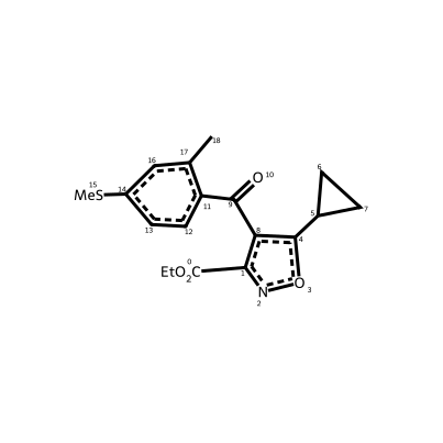 CCOC(=O)c1noc(C2CC2)c1C(=O)c1ccc(SC)cc1C